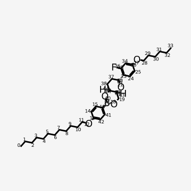 CCCCCCCCCCCCOc1ccc(B2OC[C@H]3O[C@@H](c4ccc(OCCCCCC)cc4F)CC[C@@H]3O2)cc1